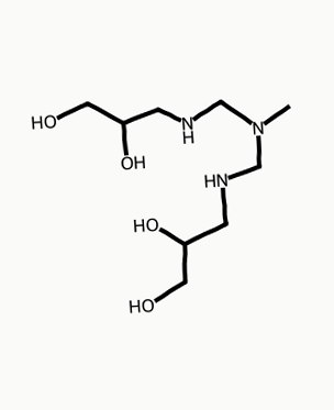 CN(CNCC(O)CO)CNCC(O)CO